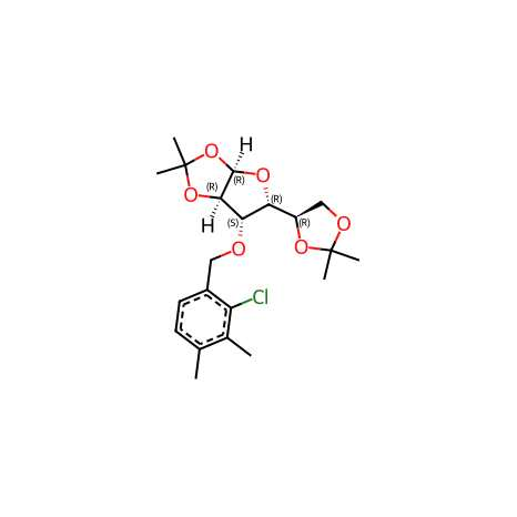 Cc1ccc(CO[C@@H]2[C@H]3OC(C)(C)O[C@H]3O[C@@H]2[C@H]2COC(C)(C)O2)c(Cl)c1C